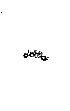 CC(C(=O)Nc1ccc(F)cc1)[C@]1(O)CC[C@H](c2ccccc2)CC1